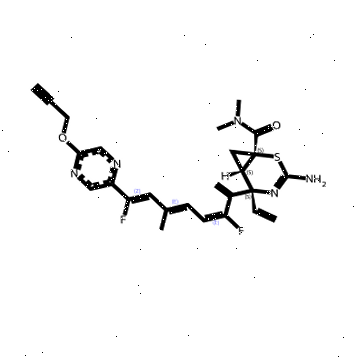 C#CCOc1cnc(/C(F)=C/C(C)=C/C=C(/F)C(=C)[C@@]2(C=C)N=C(N)S[C@@]3(C(=O)N(C)C)C[C@@H]23)cn1